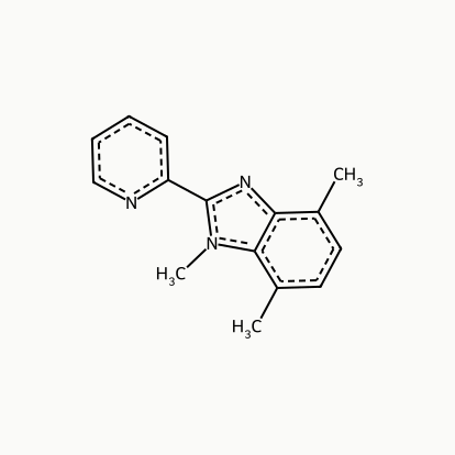 Cc1ccc(C)c2c1nc(-c1ccccn1)n2C